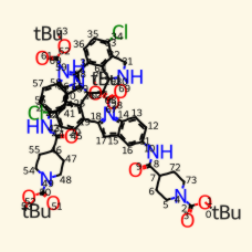 CC(C)(C)OC(=O)N1CCC(C(=O)Nc2ccc3c(c2)cc(-c2ccc(Cl)c4c2C(C(=O)C2NCc5c(Cl)ccc(-c6cc7cc(NC(=O)C8CCN(C(=O)OC(C)(C)C)CC8)ccc7n6C(=O)OC(C)(C)C)c52)NC4)n3C(=O)OC(C)(C)C)CC1